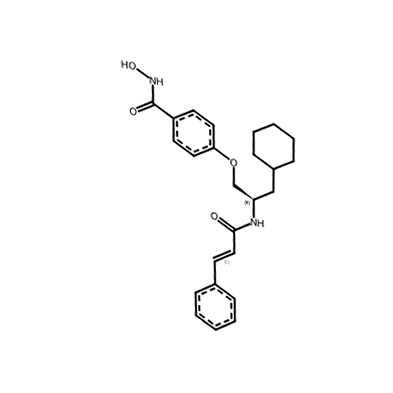 O=C(/C=C/c1ccccc1)N[C@@H](COc1ccc(C(=O)NO)cc1)CC1CCCCC1